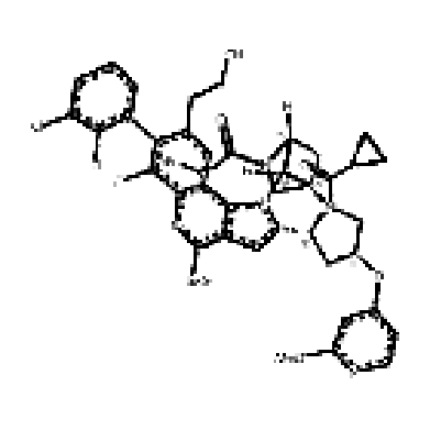 COc1cc(O[C@H]2C[C@H](c3cc4c(SC)nc5c(F)c(-c6cccc(Cl)c6Cl)c(CCC#N)cc5c4n3[C@H]3[C@@H]4C[C@H]3N(C(=O)OC(C)(C)C)C4)N(C(=O)C3CC3)C2)ccn1